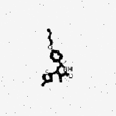 CCCCOc1ccc([C@]2(C)CC(c3cc(C)cs3)=C(C)C(=O)N2)cc1